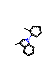 Cc1ccccc1-n1cc(C)c2ccccc21